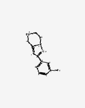 Fc1cccc(-c2nc3n(n2)CCNC3)c1